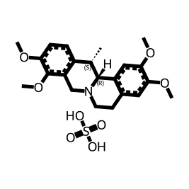 COc1cc2c(cc1OC)[C@H]1[C@@H](C)c3ccc(OC)c(OC)c3CN1CC2.O=S(=O)(O)O